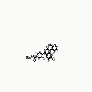 Cc1ccnc(C(F)F)c1-n1c(=O)nc(N2CCN(C(=O)OC(C)(C)C)C[C@@H]2C)c2cc(F)c(Cl)nc21